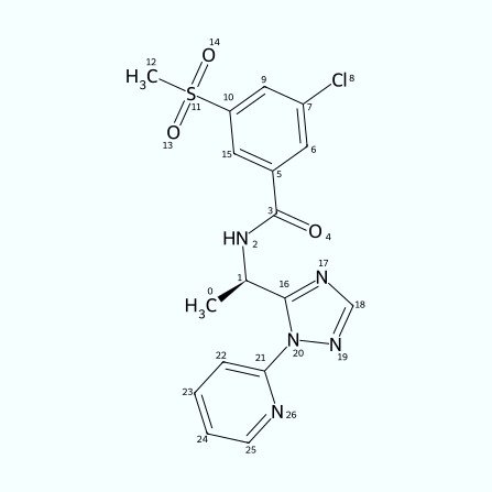 C[C@@H](NC(=O)c1cc(Cl)cc(S(C)(=O)=O)c1)c1ncnn1-c1ccccn1